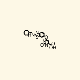 COc1nc(Oc2ccc3nc(NCC4CCCCC4)sc3c2)cc(C(=O)O)n1